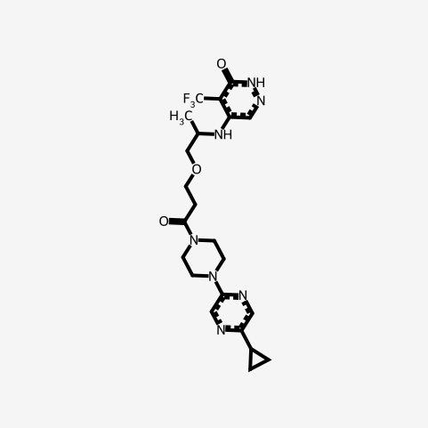 CC(COCCC(=O)N1CCN(c2cnc(C3CC3)cn2)CC1)Nc1cn[nH]c(=O)c1C(F)(F)F